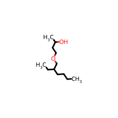 CCCCC(CC)COCCC(C)O